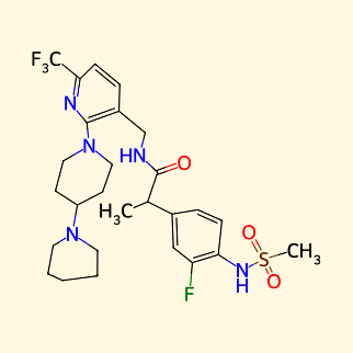 CC(C(=O)NCc1ccc(C(F)(F)F)nc1N1CCC(N2CCCCC2)CC1)c1ccc(NS(C)(=O)=O)c(F)c1